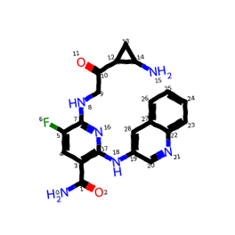 NC(=O)c1cc(F)c(NCC(=O)C2CC2N)nc1Nc1cnc2ccccc2c1